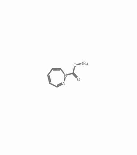 CC(C)(C)OC(=O)N1C=CC=CC=N1